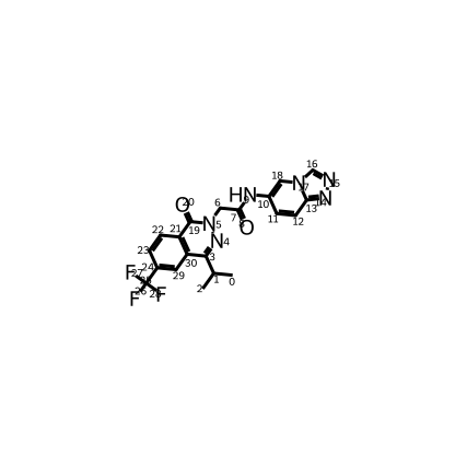 CC(C)c1nn(CC(=O)Nc2ccc3nncn3c2)c(=O)c2ccc(C(F)(F)F)cc12